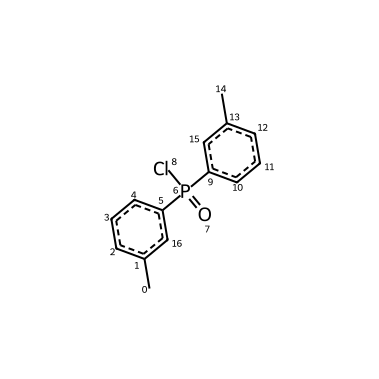 Cc1cccc(P(=O)(Cl)c2cccc(C)c2)c1